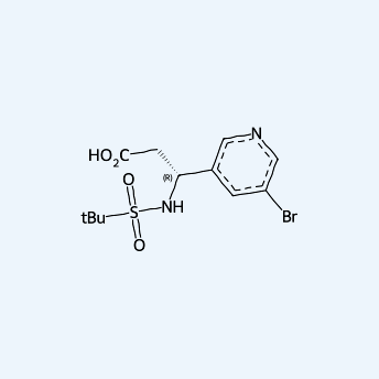 CC(C)(C)S(=O)(=O)N[C@H](CC(=O)O)c1cncc(Br)c1